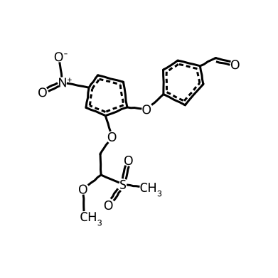 COC(COc1cc([N+](=O)[O-])ccc1Oc1ccc(C=O)cc1)S(C)(=O)=O